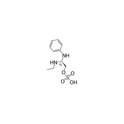 CCN[C@H](COS(=O)(=O)O)Nc1ccccc1